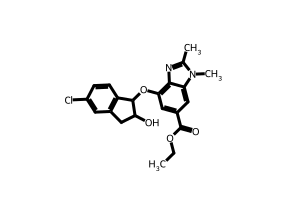 CCOC(=O)c1cc(OC2c3ccc(Cl)cc3CC2O)c2nc(C)n(C)c2c1